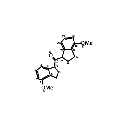 COc1cccc2c1CCC2C(=O)C1CCc2c(OC)cccc21